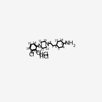 Cl.Cl.NC1CCC(CCN2CCN(c3cccc(Cl)c3Cl)CC2)CC1